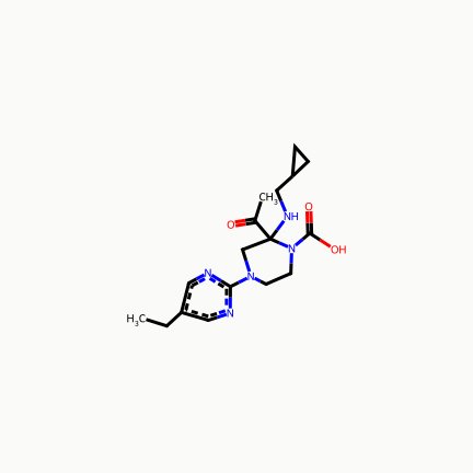 CCc1cnc(N2CCN(C(=O)O)C(NCC3CC3)(C(C)=O)C2)nc1